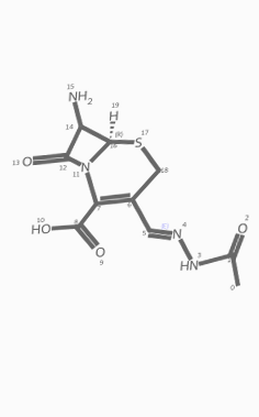 CC(=O)N/N=C/C1=C(C(=O)O)N2C(=O)C(N)[C@H]2SC1